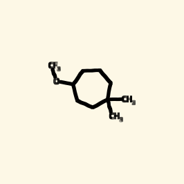 CC1(C)CCCC(OC(F)(F)F)CC1